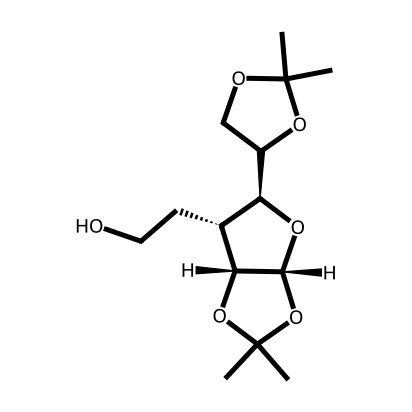 CC1(C)OCC([C@H]2O[C@@H]3OC(C)(C)O[C@@H]3[C@@H]2CCO)O1